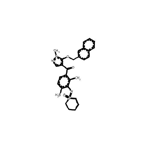 Bc1ccc(C(=O)c2cnn(C)c2OCc2ccc3ccccc3c2)c(C)c1N=S1(=O)CCCCC1